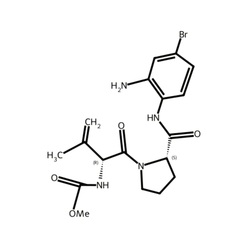 C=C(C)[C@@H](NC(=O)OC)C(=O)N1CCC[C@H]1C(=O)Nc1ccc(Br)cc1N